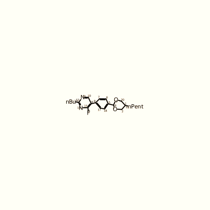 CCCCCC1COC(c2ccc(-c3cnc(CCCC)nc3F)cc2)OC1